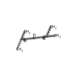 CCCCCCCCCCC(CCCCCCCC)COC(=O)CCCCCCCCNCCCCCCCCC(=O)OCC(CCCCCCCC)CCCCCCCCCC